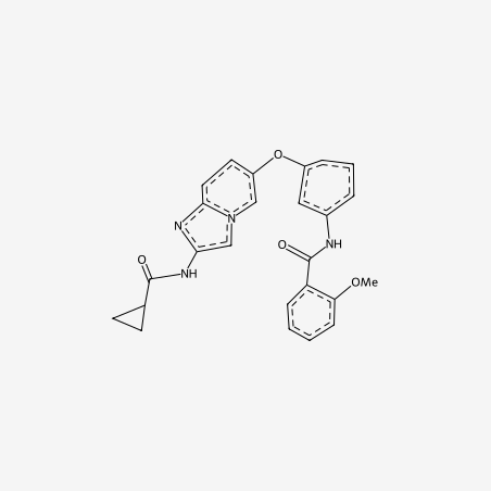 COc1ccccc1C(=O)Nc1cccc(Oc2ccc3nc(NC(=O)C4CC4)cn3c2)c1